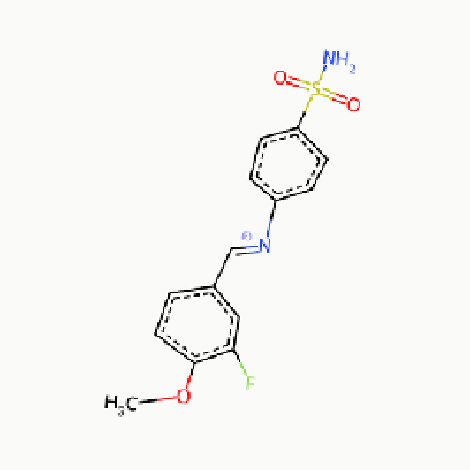 COc1ccc(/C=N/c2ccc(S(N)(=O)=O)cc2)cc1F